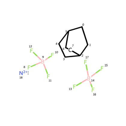 C1CC2CCC1CC2.F[B-](F)(F)F.F[B-](F)(F)F.[N+2]